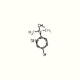 C[N+](C)(C)c1ccc(Br)cc1.[SiH4]